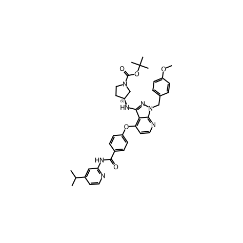 COc1ccc(Cn2nc(N[C@H]3CCN(C(=O)OC(C)(C)C)C3)c3c(Oc4ccc(C(=O)Nc5cc(C(C)C)ccn5)cc4)ccnc32)cc1